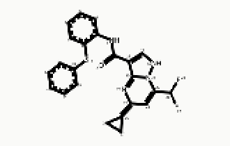 O=C(Nc1ccccc1Sc1ccccc1)C1=CNN2C(C(F)F)=CC(=C3CC3)N=C12